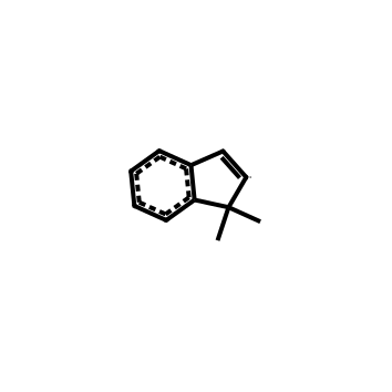 CC1(C)[C]=Cc2ccccc21